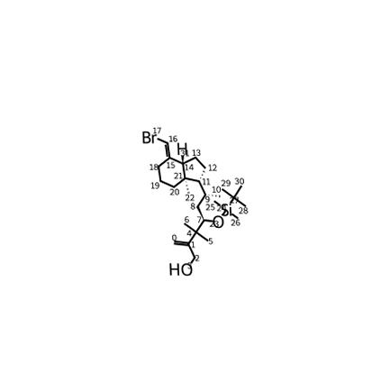 C=C(CO)C(C)(C)[C@@H](C[C@@H](C)[C@H]1CC[C@H]2/C(=C/Br)CCC[C@]12C)O[Si](C)(C)C(C)(C)C